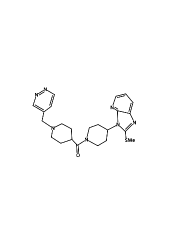 CSc1nc2cccnc2n1C1CCN(C(=O)C2CCN(Cc3ccnnc3)CC2)CC1